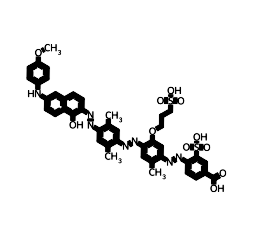 COc1ccc(Nc2ccc3c(O)c(N=Nc4cc(C)c(N=Nc5cc(C)c(N=Nc6ccc(C(=O)O)cc6S(=O)(=O)O)cc5OCCCS(=O)(=O)O)cc4C)ccc3c2)cc1